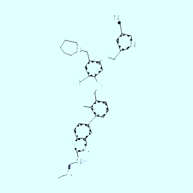 C/N=C/Nc1nc2cc(-c3cccc(COc4cc(OCc5cncc(C#N)c5)c(CN5CCCCC5)cc4Cl)c3C)ccc2o1